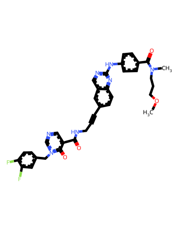 COCCCN(C)C(=O)c1ccc(Nc2ncc3cc(C#CCNC(=O)c4cncn(Cc5ccc(F)c(F)c5)c4=O)ccc3n2)cc1